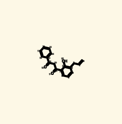 C=CCc1cccc(C(=O)CC(=O)c2ccccc2)c1O